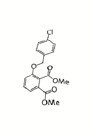 COC(=O)c1cccc(OCc2ccc(Cl)cc2)c1C(=O)OC